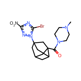 CN1CCN(C(=O)C23CC4CC2CC(n2nc([N+](=O)[O-])nc2Br)(C4)C3)CC1